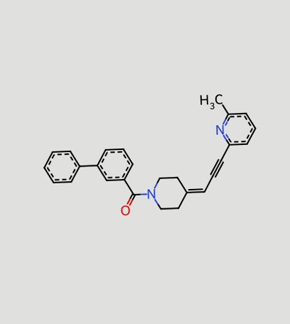 Cc1cccc(C#CC=C2CCN(C(=O)c3cccc(-c4ccccc4)c3)CC2)n1